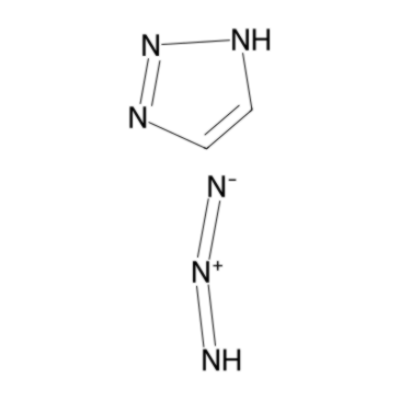 [N-]=[N+]=N.c1c[nH]nn1